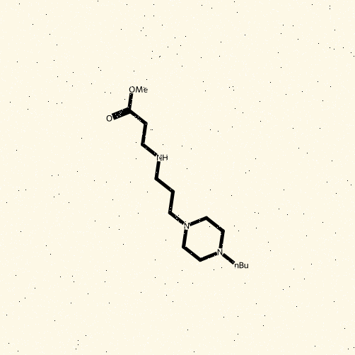 CCCCN1CCN(CCCNCCC(=O)OC)CC1